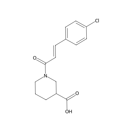 O=C(O)C1CCCN(C(=O)/C=C/c2ccc(Cl)cc2)C1